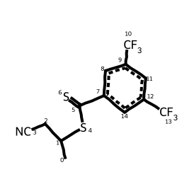 CC(CC#N)SC(=S)c1cc(C(F)(F)F)cc(C(F)(F)F)c1